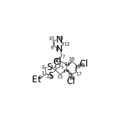 CCC1CSC(CCCn2ccnc2)(Cc2c(Cl)cc(Cl)cc2Cl)S1